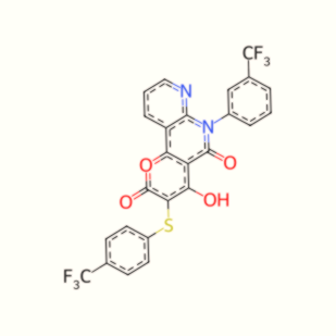 O=c1oc2c(c(O)c1Sc1ccc(C(F)(F)F)cc1)c(=O)n(-c1cccc(C(F)(F)F)c1)c1ncccc21